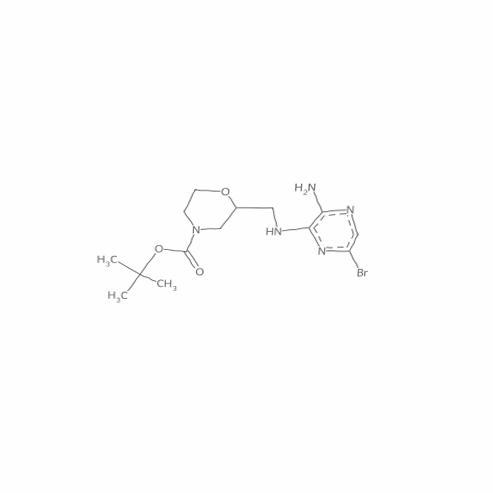 CC(C)(C)OC(=O)N1CCOC(CNc2nc(Br)cnc2N)C1